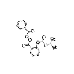 CCC(CC)OC(=O)Oc1ccccc1C(=O)OOC(=O)c1ccccc1